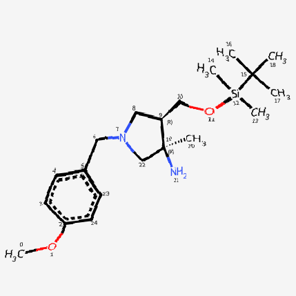 COc1ccc(CN2C[C@@H](CO[Si](C)(C)C(C)(C)C)[C@@](C)(N)C2)cc1